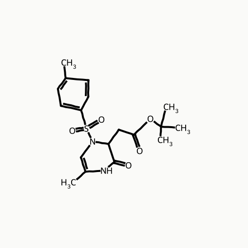 CC1=CN(S(=O)(=O)c2ccc(C)cc2)C(CC(=O)OC(C)(C)C)C(=O)N1